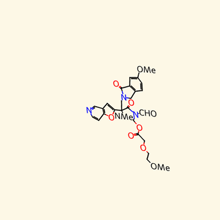 CNC(CN1Cc2ccc(OC)cc2C1=O)(C(=O)N(C=O)COC(=O)COCCOC)c1cc2cnccc2o1